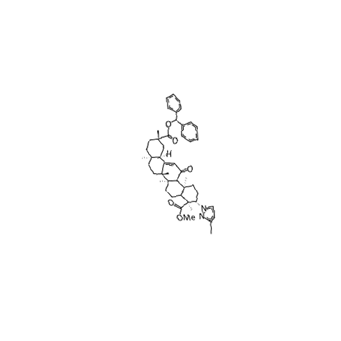 COC(=O)[C@@]1(C)C2CC[C@]3(C)C(C(=O)C=C4[C@@H]5C[C@@](C)(C(=O)OC(c6ccccc6)c6ccccc6)CC[C@]5(C)CC[C@]43C)[C@@]2(C)CC[C@@H]1n1ccc(C)n1